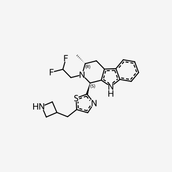 C[C@@H]1Cc2c([nH]c3ccccc23)[C@@H](c2ncc(CC3CNC3)s2)N1CC(F)F